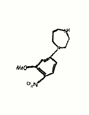 COc1cc(N2CCCNCC2)ccc1[N+](=O)[O-]